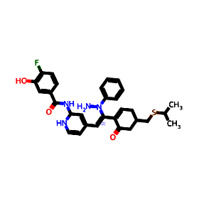 CC(C)SCC1CC=C(/C(=C/C2=CC(NC(=O)c3ccc(F)c(O)c3)NC=C2)N(N)c2ccccc2)C(=O)C1